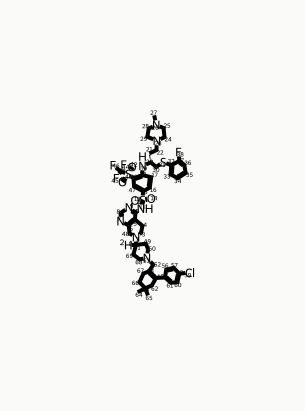 [2H]C1(N2CCc3c(ncnc3NS(=O)(=O)c3ccc(N[C@H](CCN4CCN(C)CC4)CSc4ccccc4F)c(S(=O)(=O)C(F)(F)F)c3)C2)CCN(CC2=C(c3ccc(Cl)cc3)CC(C)(C)CC2)CC1